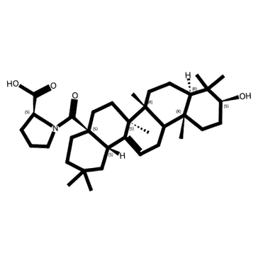 CC1(C)CC[C@]2(C(=O)N3CCC[C@H]3C(=O)O)CC[C@]3(C)C(=CCC4[C@@]5(C)CC[C@H](O)C(C)(C)[C@@H]5CC[C@]43C)[C@@H]2C1